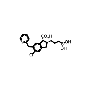 O=C(O)[C@@H]1c2cc(Cc3ccccn3)c(Cl)cc2C[C@@H]1CCCB(O)O